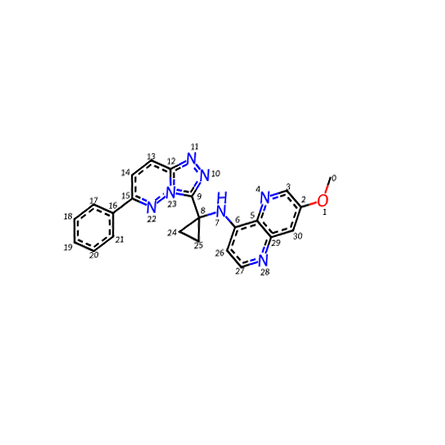 COc1cnc2c(NC3(c4nnc5ccc(-c6ccccc6)nn45)CC3)ccnc2c1